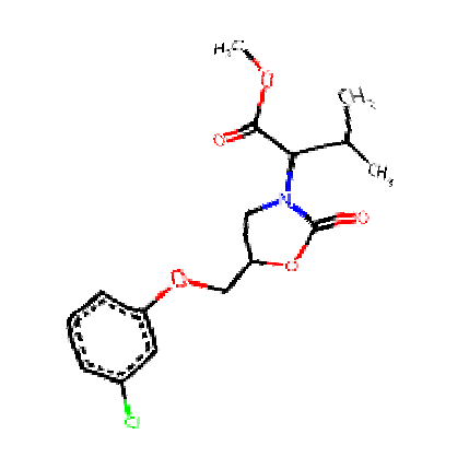 COC(=O)C(C(C)C)N1CC(COc2cccc(Cl)c2)OC1=O